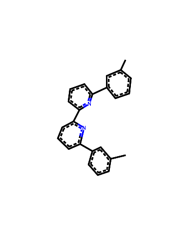 Cc1cccc(-c2cccc(-c3cccc(-c4cccc(C)c4)n3)n2)c1